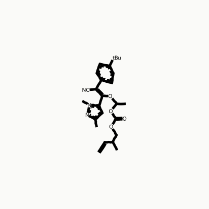 C=CC(C)COC(=O)OC(C)O/C(=C(/C#N)c1ccc(C(C)(C)C)cc1)c1cc(C)nn1C